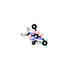 C=CC(C)NC(=O)c1c(OCc2ccccc2)c(=O)c(C(=O)NCc2c(F)cc(F)cc2F)cn1NC1(C=C)CCC1